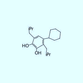 CC(C)Cc1cc(C2CCCCC2)c(CC(C)C)c(O)c1O